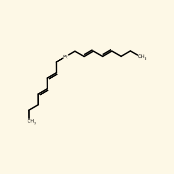 CCCC=CC=C[CH2][Pt][CH2]C=CC=CCCC